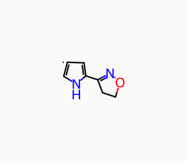 [c]1c[nH]c(C2=NOCC2)c1